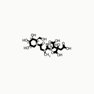 CN(CC(=O)N1C[C@H](O)[C@@H](O)[C@H](O)[C@H]1CO)C(=N)NC(C(=O)O)C(O)(CC(=O)O)C(=O)O